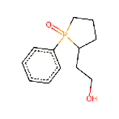 O=P1(c2ccccc2)CCCC1CCO